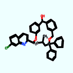 CC(C)C[Si](OCc1cccc(C(O)c2cccc(OCc3ccc4ccc(Cl)cc4n3)c2)c1)(c1ccccc1)c1ccccc1